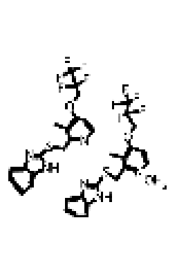 Cc1c(OCC(F)(F)C(F)(F)F)ccnc1CSc1nc2ccccc2[nH]1.Cc1c(OCC(F)(F)C(F)(F)F)ccnc1CSc1nc2ccccc2[nH]1.O